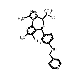 CC[C@H](C(=O)O)C1N=C(c2ccc(NCc3ccncc3)cc2)c2c(sc(C)c2C)-n2c(C)nnc21